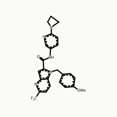 COc1ccc(Cn2c(C(=O)Nc3ccc(N4CCC4)nc3)cc3nc(C(F)(F)F)ccc32)cc1